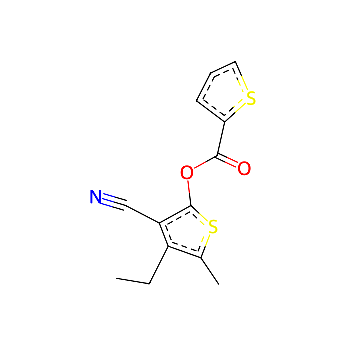 CCc1c(C)sc(OC(=O)c2cccs2)c1C#N